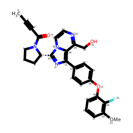 CC#CC(=O)N1CCC[C@H]1c1nc(-c2ccc(Oc3cccc(OC)c3F)cc2)c2c(CO)nccn12